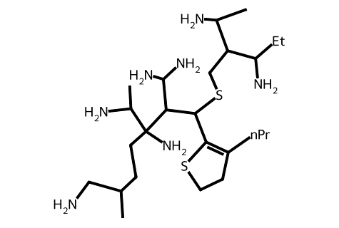 CCCC1=C(C(SCC(C(C)N)C(N)CC)C(C(N)N)C(N)(CCC(C)CN)C(C)N)SCC1